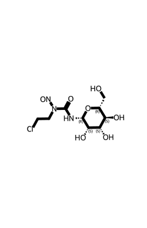 O=NN(CCCl)C(=O)N[C@@H]1O[C@H](CO)[C@@H](O)[C@H](O)[C@@H]1O